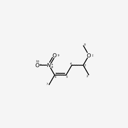 COC(C)CC=C(C)[N+](=O)[O-]